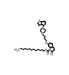 CCCCCCCCCCCCCOC(=O)n1c(=O)ccc2ccc(OCCCCN3CCN(c4cccc5sccc45)CC3)cc21